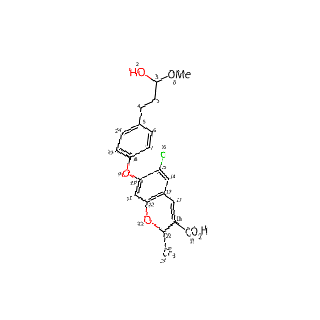 COC(O)CCc1ccc(Oc2cc3c(cc2Cl)C=C(C(=O)O)C(C(F)(F)F)O3)cc1